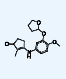 COc1ccc(NC2=C(C)C(=O)CC2)cc1OC1CCCO1